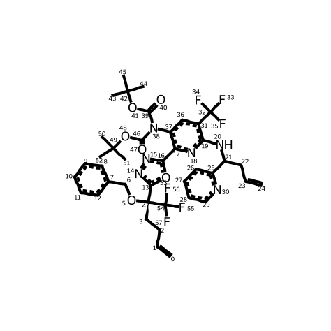 C=CCC[C@@](OCc1ccccc1)(c1nnc(-c2nc(NC(CC=C)c3ccccn3)c(C(F)(F)F)cc2N(C(=O)OC(C)(C)C)C(=O)OC(C)(C)C)o1)C(F)(F)F